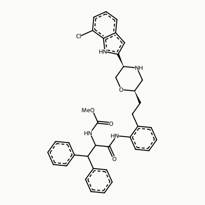 COC(=O)NC(C(=O)Nc1ccccc1CC[C@@H]1CN[C@H](c2cc3cccc(Cl)c3[nH]2)CO1)C(c1ccccc1)c1ccccc1